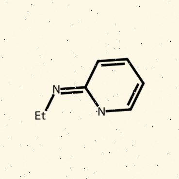 CC/N=C1/C=CC=C[N]1